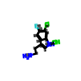 Cl.NCCc1c[nH]c2cc(Cl)c(F)cc12